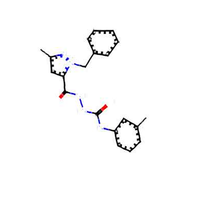 CC(C)(C)c1cc(C(=O)NNC(=O)Nc2cccc(C(F)(F)F)c2)n(Cc2ccccc2)n1